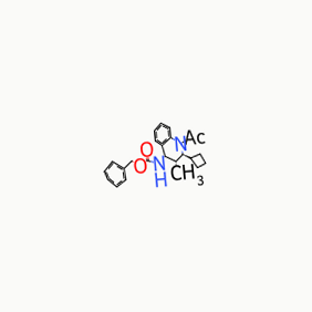 CC(=O)N1c2ccccc2C(NC(=O)OCc2ccccc2)[C@@H](C)[C@@H]1C1CCC1